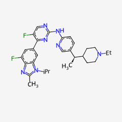 CCN1CCC([C@@H](C)c2ccc(Nc3ncc(F)c(-c4cc(F)c5nc(C)n(C(C)C)c5c4)n3)nc2)CC1